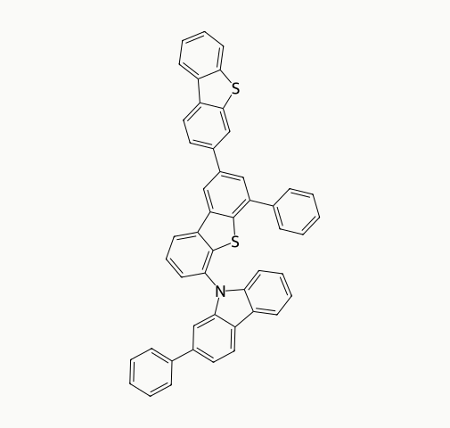 c1ccc(-c2ccc3c4ccccc4n(-c4cccc5c4sc4c(-c6ccccc6)cc(-c6ccc7c(c6)sc6ccccc67)cc45)c3c2)cc1